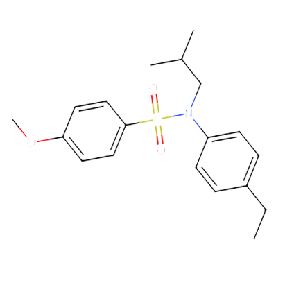 CCc1ccc(N(CC(C)C)S(=O)(=O)c2ccc(OC)cc2)cc1